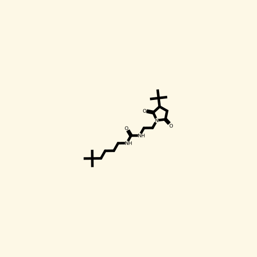 CC(C)(C)CCCCNC(=O)NCCN1C(=O)CC(C(C)(C)C)C1=O